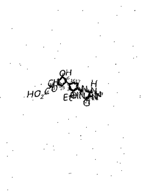 CCOc1cc(-c2cc(O)cc(O[C@@H](C)C(=O)O)c2)ccc1-c1nc2[nH]nnc2c(=O)[nH]1